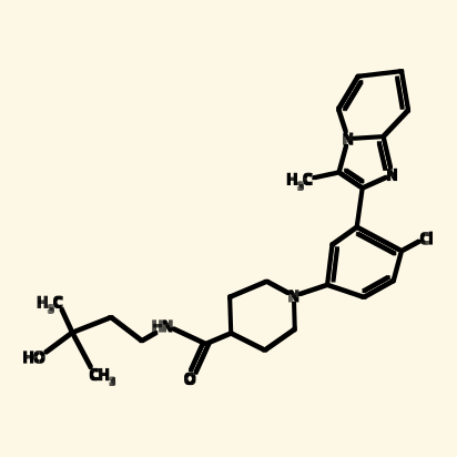 Cc1c(-c2cc(N3CCC(C(=O)NCCC(C)(C)O)CC3)ccc2Cl)nc2ccccn12